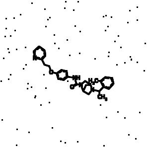 Cc1ccccc1C(C)N1CC2CC1CN2C(=O)Nc1ccc(OCCc2ccccn2)cc1